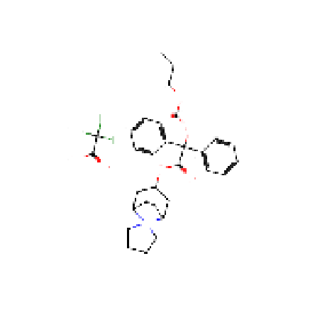 CCCOC(=O)OC(C(=O)OC1CC2CCC(C1)[N+]21CCCC1)(c1ccccc1)c1ccccc1.O=C([O-])C(F)(F)F